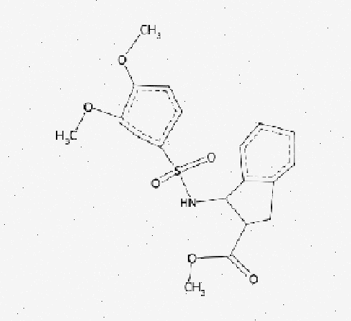 COC(=O)C1Cc2ccccc2C1NS(=O)(=O)c1ccc(OC)c(OC)c1